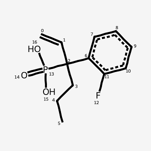 C=CC(CCC)(c1ccccc1F)P(=O)(O)O